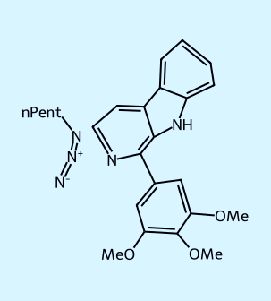 CCCCCN=[N+]=[N-].COc1cc(-c2nccc3c2[nH]c2ccccc23)cc(OC)c1OC